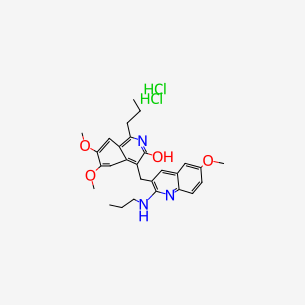 CCCNc1nc2ccc(OC)cc2cc1Cc1c(O)nc(CCC)c2cc(OC)c(OC)cc12.Cl.Cl